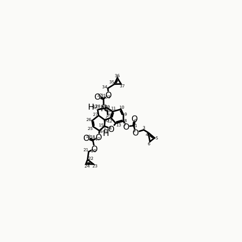 O=C(OCC1=CC1)Oc1ccc2c3c1O[C@H]1C(OC(=O)OCC4C=C4)C=CC4[C@@H](C2)N(C(=O)OCC2=CC2)CC[C@@]341